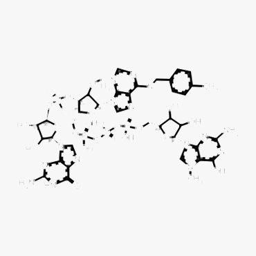 COC1[C@@H](OP(=O)(O)O[C@H]2O[C@@H](n3cnc4c(=O)[nH]c(N)nc43)C(O)[C@H]2O)[C@@H](COP(=O)(O)OP(=O)(O)OP(=O)(O)OC[C@H]2O[C@@H](n3c[n+](C)c4c(O)nc(N)nc43)C(O)C2O)O[C@H]1n1cnc2c(NCc3ccc(C)cc3)ncnc21